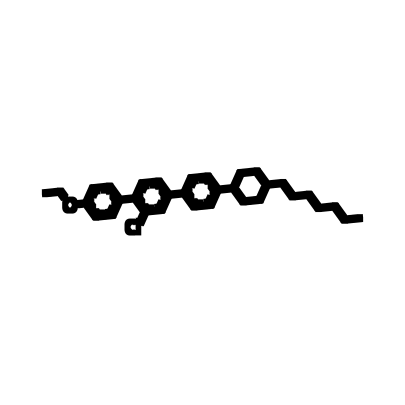 CCCCCCCC1CCC(c2ccc(-c3ccc(-c4ccc(OCC)cc4)c(Cl)c3)cc2)CC1